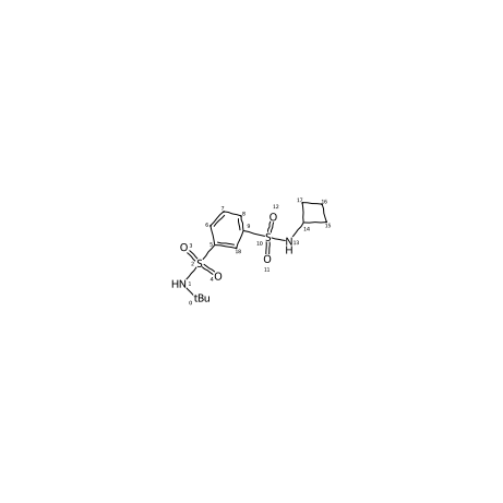 CC(C)(C)NS(=O)(=O)c1cccc(S(=O)(=O)NC2CCC2)c1